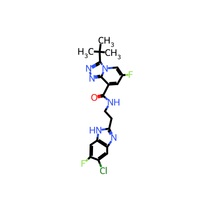 CC(C)(C)c1nnc2c(C(=O)NCCc3nc4cc(Cl)c(F)cc4[nH]3)cc(F)cn12